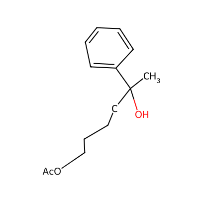 CC(=O)OCCCCC(C)(O)c1ccccc1